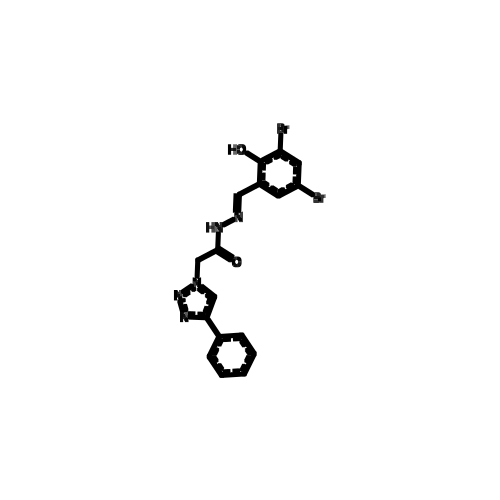 O=C(Cn1cc(-c2ccccc2)nn1)N/N=C/c1cc(Br)cc(Br)c1O